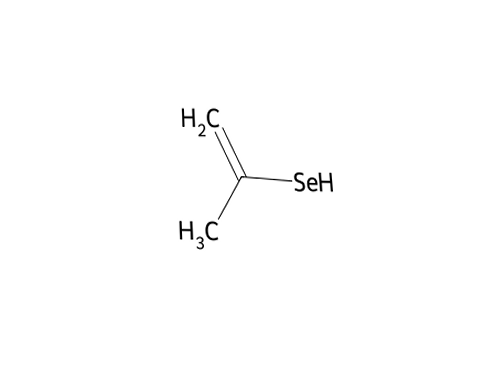 C=C(C)[SeH]